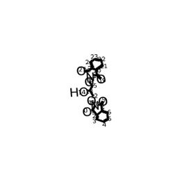 O=C1c2ccccc2C(=O)N1OCC(O)CON1C(=O)c2ccccc2C1=O